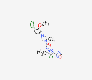 COc1cc(N2CCN(C(=O)Cn3nc(-c4ncon4)c(Cl)c3C)C(C)C2)ccc1Cl